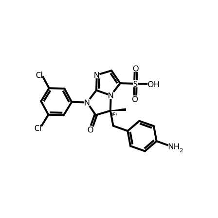 C[C@@]1(Cc2ccc(N)cc2)C(=O)N(c2cc(Cl)cc(Cl)c2)c2ncc(S(=O)(=O)O)n21